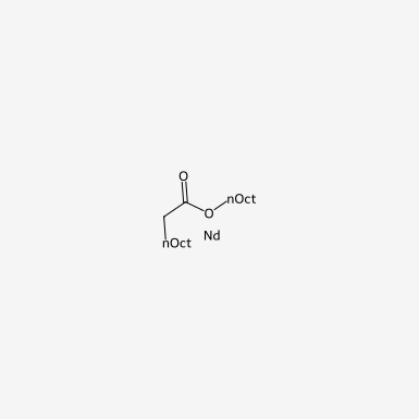 CCCCCCCCCC(=O)OCCCCCCCC.[Nd]